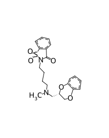 CN(CCCCN1C(=O)c2ccccc2S1(=O)=O)C[C@H]1COc2ccccc2O1